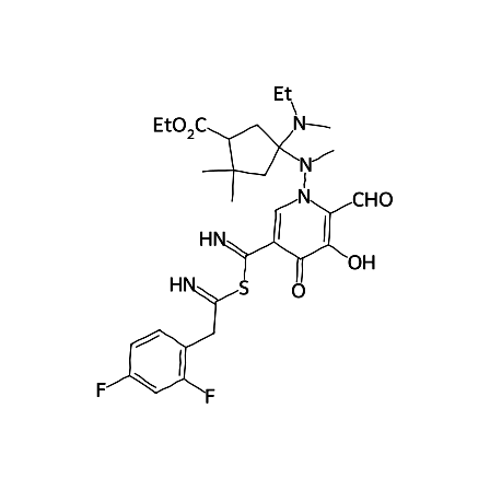 CCOC(=O)C1CC(N(C)CC)(N(C)n2cc(C(=N)SC(=N)Cc3ccc(F)cc3F)c(=O)c(O)c2C=O)CC1(C)C